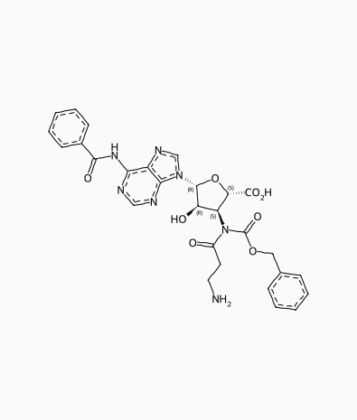 NCCC(=O)N(C(=O)OCc1ccccc1)[C@H]1[C@@H](O)[C@H](n2cnc3c(NC(=O)c4ccccc4)ncnc32)O[C@@H]1C(=O)O